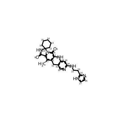 Cc1c2c(c(=O)n3c1C(=O)NC31CCCCC1)Nc1cc(NCCc3ncc[nH]3)ncc1C2